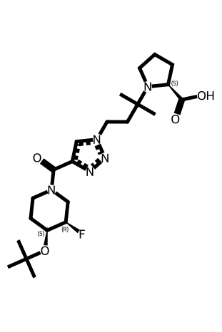 CC(C)(C)O[C@H]1CCN(C(=O)c2cn(CCC(C)(C)N3CCC[C@H]3C(=O)O)nn2)C[C@H]1F